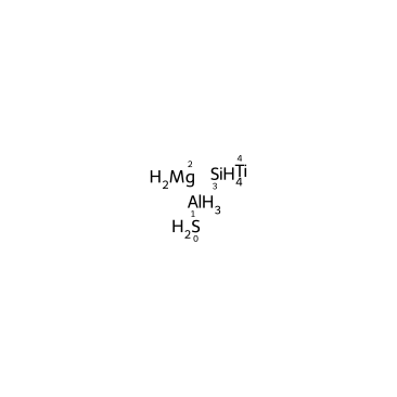 S.[AlH3].[MgH2].[SiH4].[Ti]